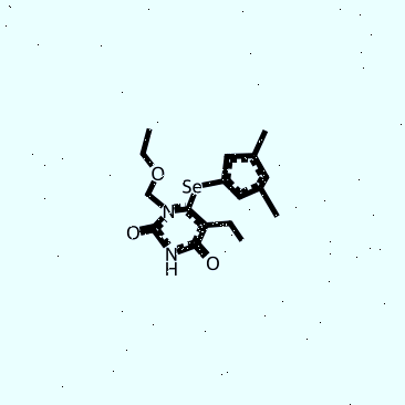 CCOCn1c([Se]c2cc(C)cc(C)c2)c(CC)c(=O)[nH]c1=O